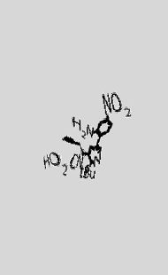 C=CC[C@@H](c1cc(-c2ccc([N+](=O)[O-])cc2N)cnc1F)N(C(=O)O)C(C)(C)C